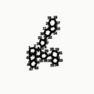 c1ccc(N(c2ccc(-c3ccc4c(ccc5ccccc54)c3)cc2)c2cc(-c3cccc4ccccc34)ccc2-c2cccc3ccccc23)cc1